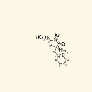 CC(=O)N1C(=O)C(N)(C[n+]2ccccc2)CC1C(=O)O